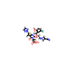 COc1ccc(F)cc1[C@H](Cn1c(=O)n(C(C)(C)C(=O)O)c(=O)c2c(C)c(-n3nccn3)sc21)OCCN1CC(C#N)C1